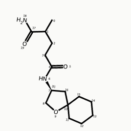 CC(C[CH]C(=O)N[C@@H]1COC2(CCCCC2)C1)C(N)=O